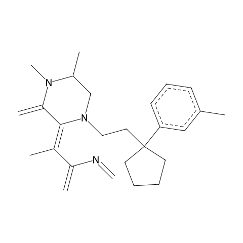 C=NC(=C)/C(C)=C1/C(=C)N(C)C(C)CN1CCC1(c2cccc(C)c2)CCCC1